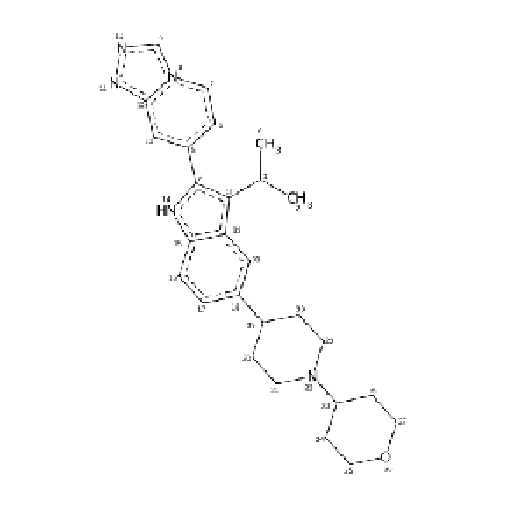 CC(C)c1c(-c2ccn3cnnc3c2)[nH]c2ccc(C3CCN(C4CCOCC4)CC3)cc12